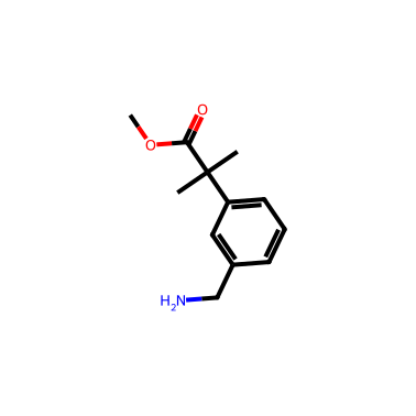 COC(=O)C(C)(C)c1cccc(CN)c1